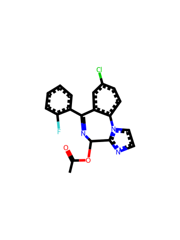 CC(=O)OC1N=C(c2ccccc2F)c2cc(Cl)ccc2-n2ccnc21